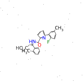 Cc1ccc(F)c(-c2cccc(C(=O)N[C@@H](CC(=O)O)c3ccccc3C)n2)c1